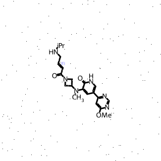 COc1cc(-c2c[nH]c(=O)c(N(C)C3CN(C(=O)/C=C/CNC(C)C)C3)c2)ncn1